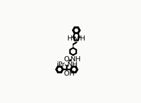 CC(C)[C@@H](NC(=O)N[C@H]1CC[C@H](CCN2[C@@H]3CC[C@H]2c2ccccc23)CC1)C(O)(c1ccccc1)c1ccccc1